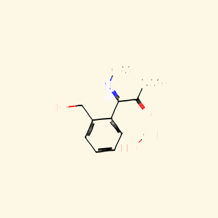 CNC(=O)/C(=N\OC)c1ccccc1CO.CO